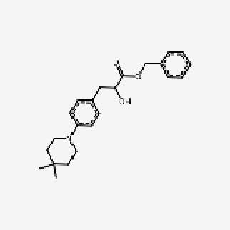 CC1(C)CCN(c2ccc(CC(O)C(=O)OCc3ccccc3)cc2)CC1